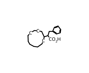 O=C(O)C(Cc1ccccc1)C1CCCCCCCCCCC1